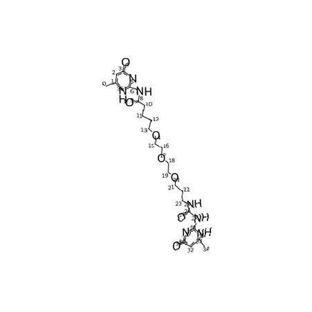 Cc1cc(=O)nc(NC(=O)CCCCOCCOCCOCCCNC(=O)Nc2nc(=O)cc(C)[nH]2)[nH]1